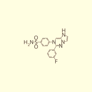 NS(=O)(=O)c1ccc(N2C=C3NC=CN3N=C2c2cccc(F)c2)cc1